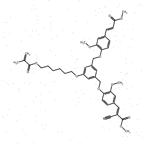 C=C(C)C(=O)OCCCCCCOc1cc(COc2ccc(/C=C/C(=O)OC)cc2OC)cc(COc2ccc(/C=C(\C#N)C(=O)OC)cc2OC)c1